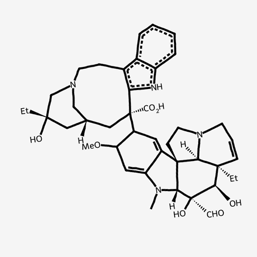 CC[C@]1(O)C[C@@H]2CN(CCc3c([nH]c4ccccc34)[C@@](C(=O)O)(C3C=C4C(=CC3OC)N(C)[C@H]3[C@@](O)(C=O)[C@H](O)[C@]5(CC)C=CCN6CC[C@]43[C@@H]65)C2)C1